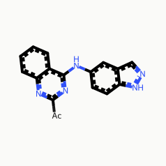 CC(=O)c1nc(Nc2ccc3[nH]ncc3c2)c2ccccc2n1